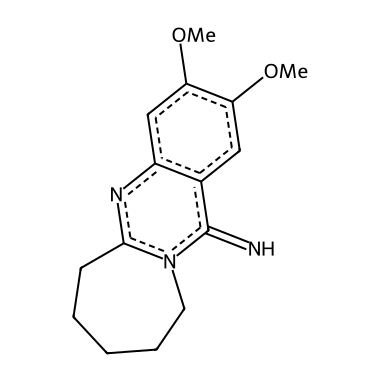 COc1cc2nc3n(c(=N)c2cc1OC)CCCCC3